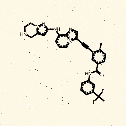 Cc1ccc(C(=O)Nc2cccc(C(C)(F)F)c2)cc1C#Cc1cnc2c(Nc3cc4n(n3)CCNC4)cccn12